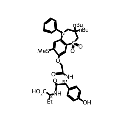 CCCCC1(CCCC)CN(c2ccccc2)c2cc(SC)c(OCC(=O)N[C@@H](C(=O)N[C@@H](CC)C(=O)O)c3ccc(O)cc3)cc2S(=O)(=O)C1